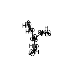 O=C(NCCN1CCN(C(=O)NCCCCCCn2c(=O)n(CCCCCCNC(=O)N3CCN(CCNC(=O)C(=O)c4ccccc4)CC3)c(=O)n(CCCCCCNC(=O)N3CCN(CCNC(=O)C(=O)c4ccccc4)CC3)c2=O)CC1)C(=O)c1ccccc1